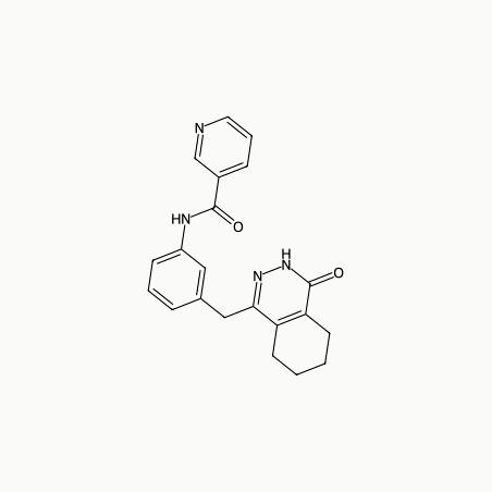 O=C(Nc1cccc(Cc2n[nH]c(=O)c3c2CCCC3)c1)c1cccnc1